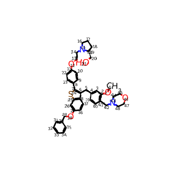 COc1cc(Cc2c(-c3ccc(OCCN4CCC[C@H]4CO)cc3)sc3cc(OCc4ccccc4)ccc23)ccc1CN1CCOCC1